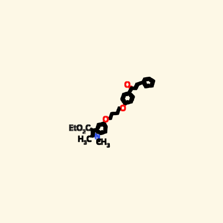 CCOC(=O)c1c(C)n(C)c2ccc(OCCCCOc3ccc(C(=O)C=Cc4ccccc4)cc3)cc12